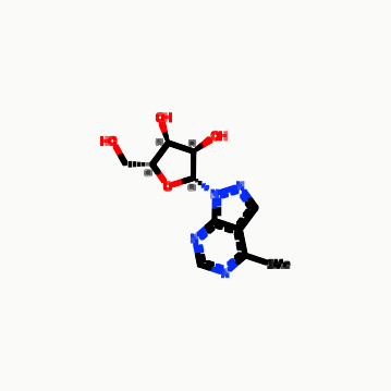 CSc1ncnc2c1cnn2[C@@H]1O[C@H](CO)[C@@H](O)[C@H]1O